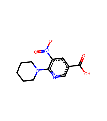 O=C(O)c1cnc(N2CCCCC2)c([N+](=O)[O-])c1